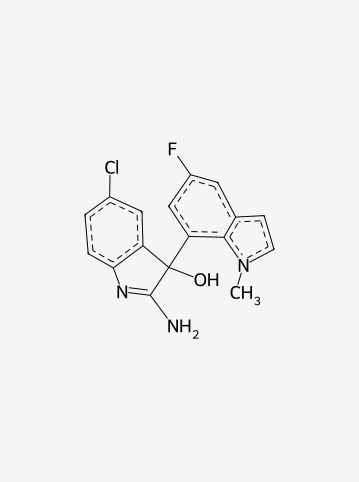 Cn1ccc2cc(F)cc(C3(O)C(N)=Nc4ccc(Cl)cc43)c21